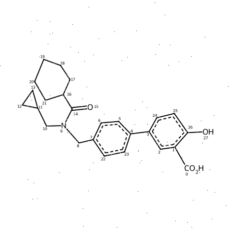 O=C(O)c1cc(-c2ccc(CN(CC3CC3)C(=O)C3CCCCC3)cc2)ccc1O